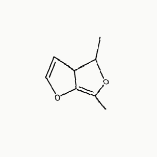 CC1=C2OC=CC2C(C)O1